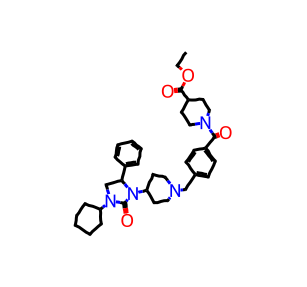 CCOC(=O)C1CCN(C(=O)c2ccc(CN3CCC(N4C(=O)N(C5CCCCC5)CC4c4ccccc4)CC3)cc2)CC1